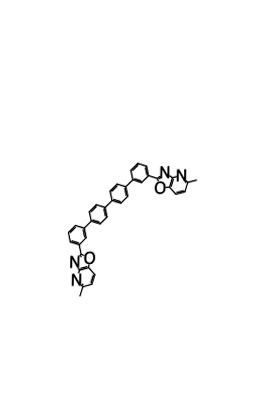 Cc1ccc2oc(-c3cccc(-c4ccc(-c5ccc(-c6cccc(-c7nc8nc(C)ccc8o7)c6)cc5)cc4)c3)nc2n1